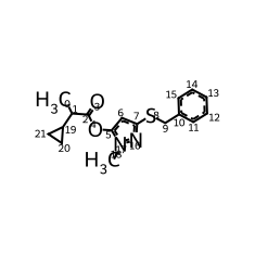 CC(C(=O)Oc1cc(SCc2ccccc2)nn1C)C1CC1